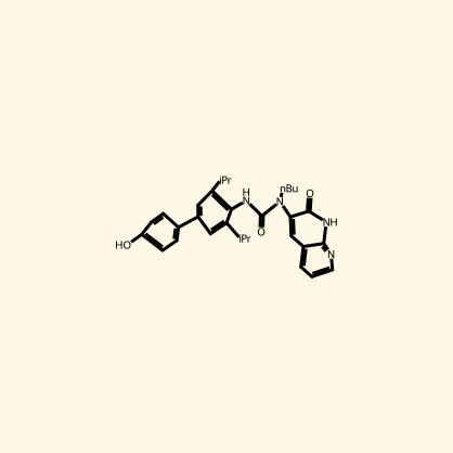 CCCCN(C(=O)Nc1c(C(C)C)cc(-c2ccc(O)cc2)cc1C(C)C)c1cc2cccnc2[nH]c1=O